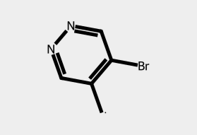 [CH2]c1cnncc1Br